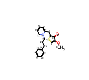 COC1=CSC(CC2=CC=CCN2CCCc2ccccc2)C1=O